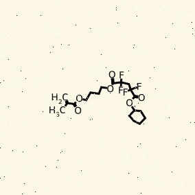 C=C(C)C(=O)OCCCCOC(=O)C(F)(F)CC(F)(F)C(=O)OC1CCCCC1